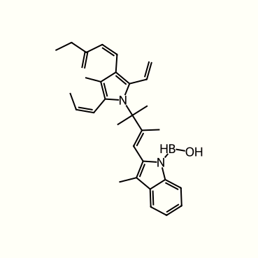 C=Cc1c(/C=C\C(=C)CC)c(C)c(/C=C\C)n1C(C)(C)/C(C)=C/c1c(C)c2ccccc2n1BO